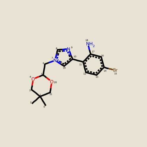 CC1(C)COC(Cn2cnc(-c3ccc(Br)cc3N)c2)OC1